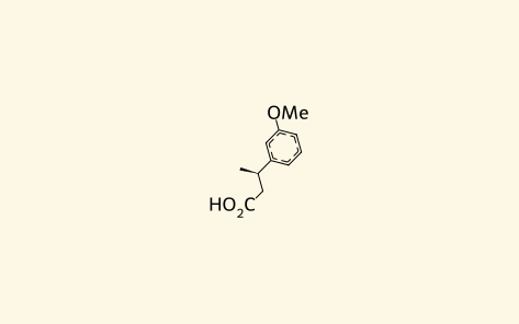 COc1cccc([C@H](C)CC(=O)O)c1